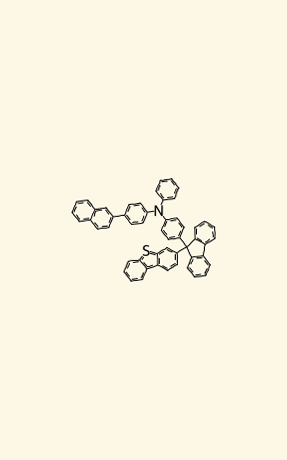 c1ccc(N(c2ccc(-c3ccc4ccccc4c3)cc2)c2ccc(C3(c4ccc5c(c4)sc4ccccc45)c4ccccc4-c4ccccc43)cc2)cc1